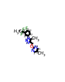 Cc1cnc(OCc2nnn(-c3ccc(F)c(C(C)(F)F)c3)c2C)nc1